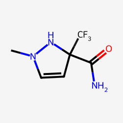 CN1C=CC(C(N)=O)(C(F)(F)F)N1